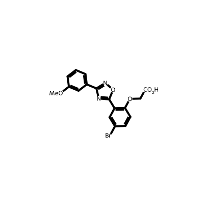 COc1cccc(-c2noc(-c3cc(Br)ccc3OCC(=O)O)n2)c1